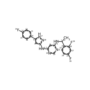 CC(Nc1cc(Nc2cc(-c3ccc(F)cc3)[nH]n2)ncn1)c1ccc(F)cc1F